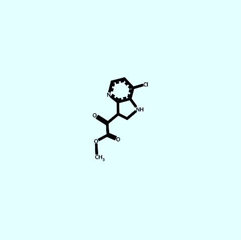 COC(=O)C(=O)C1CNc2c(Cl)ccnc21